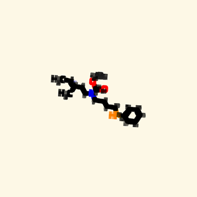 C/C=C(\C)CCN(CCCCPc1ccccc1)C(=O)OC(C)(C)C